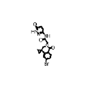 O=C(CN1CC2(CC2)c2cc(Br)ccc2C1=O)Nc1ccc(=O)[nH]n1